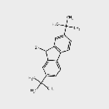 CC(C)(C)c1ccc2c(c1)[CH]([Zr])c1cc(C(C)(C)C)ccc1-2